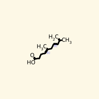 C=C(C)/C=C/C/C(C)=C/CCC(=O)O